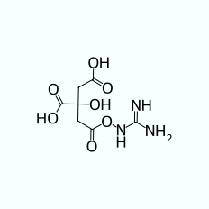 N=C(N)NOC(=O)CC(O)(CC(=O)O)C(=O)O